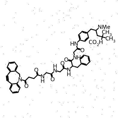 CNC(Cc1ccc(NC(=O)CNC(=O)C(Cc2ccccc2)NC(=O)CNC(=O)CNC(=O)CCC(=O)N2Cc3ccccc3C#Cc3ccccc32)cc1)CC(C)(C)C(=O)O